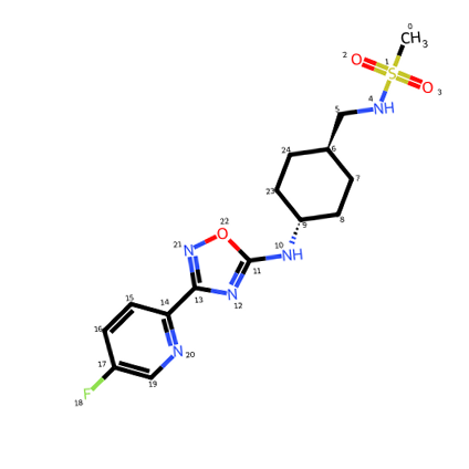 CS(=O)(=O)NC[C@H]1CC[C@H](Nc2nc(-c3ccc(F)cn3)no2)CC1